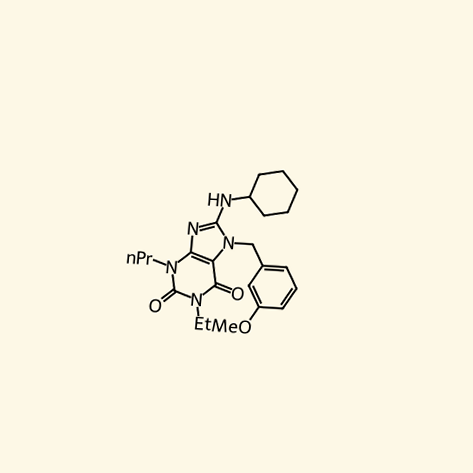 CCCn1c(=O)n(CC)c(=O)c2c1nc(NC1CCCCC1)n2Cc1cccc(OC)c1